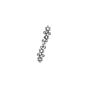 O=C(/C=C/C(=O)Oc1ccc(C(=O)C(=O)N2CCOCC2)cc1)Oc1ccc(C(=O)C(=O)N2CCCCC2)cc1